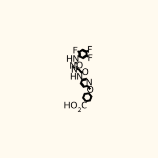 O=C(Nc1ccc(OC2CCC(C(=O)O)CC2)nc1)c1nnc(Nc2cc(F)c(F)cc2F)o1